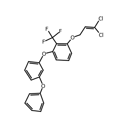 FC(F)(F)c1c(OCC=C(Cl)Cl)cccc1Oc1cccc(Oc2ccccc2)c1